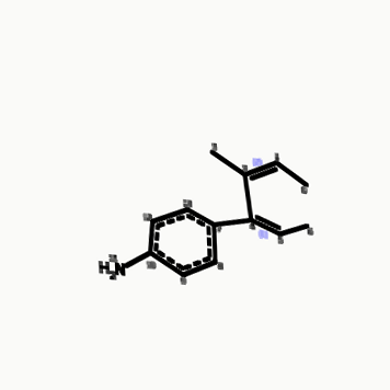 C/C=C(C)\C(=C/C)c1ccc(N)cc1